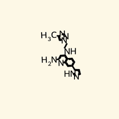 Cc1cn(CCNc2cc(N)nc3cc(-c4ccn[nH]4)ccc23)nn1